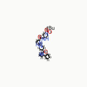 CC(C)(C)OC(=O)N1CCC(NC(=O)c2ccnc(N3CCC(C(=O)N4N=CCC4c4ccccc4)CC3)n2)CC1